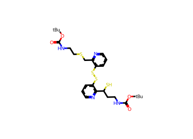 CC(C)(C)OC(=O)NCCSCc1ncccc1SSc1cccnc1C(S)CCNC(=O)OC(C)(C)C